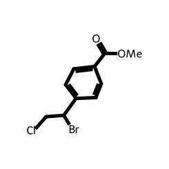 COC(=O)c1ccc(C(Br)CCl)cc1